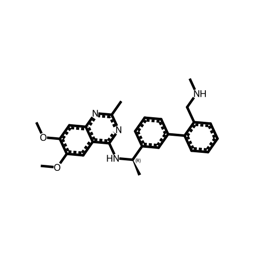 CNCc1ccccc1-c1cccc([C@@H](C)Nc2nc(C)nc3cc(OC)c(OC)cc23)c1